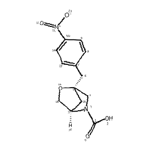 O=C(O)N1C[C@@]2(Cc3ccc([N+](=O)[O-])cc3)C[C@@H]1CO2